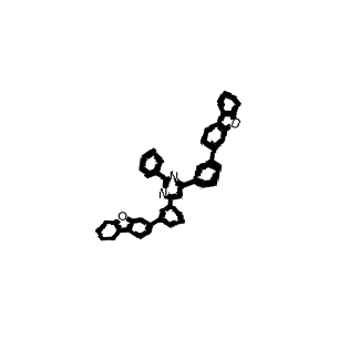 C1=Cc2oc3cc(-c4cccc(-c5cc(-c6cccc(-c7ccc8c(c7)oc7ccccc78)c6)nc(-c6ccccc6)n5)c4)ccc3c2CC1